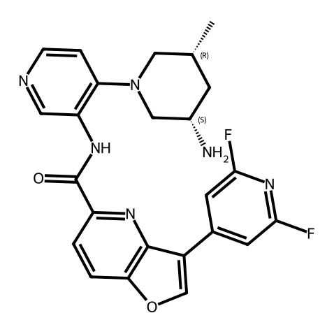 C[C@@H]1C[C@H](N)CN(c2ccncc2NC(=O)c2ccc3occ(-c4cc(F)nc(F)c4)c3n2)C1